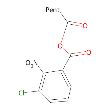 CCCC(C)C(=O)OC(=O)c1cccc(Cl)c1[N+](=O)[O-]